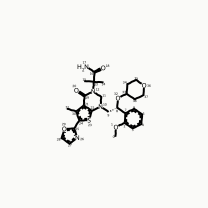 COc1ccccc1[C@H](CN1CN(C(C)(C)C(N)=O)C(=O)c2c1sc(-c1ncco1)c2C)OC1CCOCC1